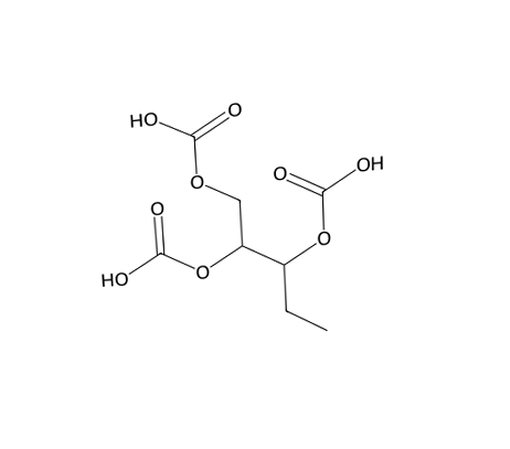 CCC(OC(=O)O)C(COC(=O)O)OC(=O)O